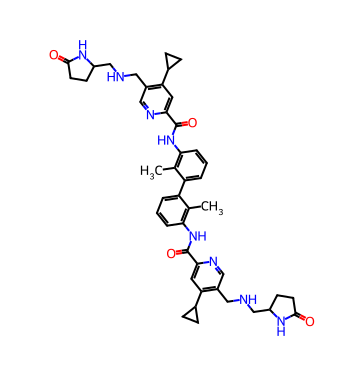 Cc1c(NC(=O)c2cc(C3CC3)c(CNCC3CCC(=O)N3)cn2)cccc1-c1cccc(NC(=O)c2cc(C3CC3)c(CNCC3CCC(=O)N3)cn2)c1C